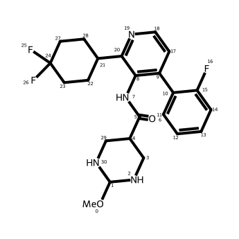 COC1NCC(C(=O)Nc2c(-c3ccccc3F)ccnc2C2CCC(F)(F)CC2)CN1